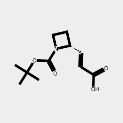 CC(C)(C)OC(=O)N1CC[C@@H]1/C=C/C(=O)O